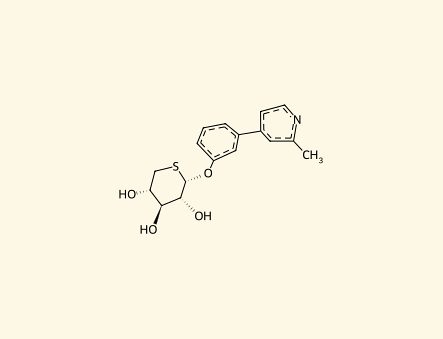 Cc1cc(-c2cccc(O[C@H]3SC[C@@H](O)[C@H](O)[C@H]3O)c2)ccn1